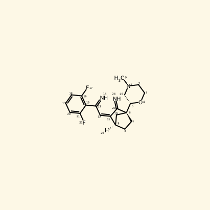 CN1CCO[C@H]([C@]23CC[C@H](C2)/C(=C/C(=N)c2c(F)cccc2F)C3=N)C1